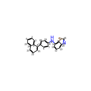 c1ccc2c(-c3ccc(Nc4cccc5ncsc45)cc3)cccc2c1